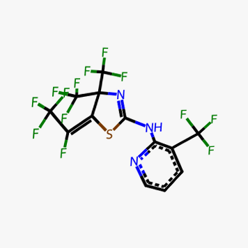 FC(=C1SC(Nc2ncccc2C(F)(F)F)=NC1(C(F)(F)F)C(F)(F)F)C(F)(F)F